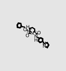 O=C(Nc1ccc(-n2cccn2)cc1)[C@@H]1CC[C@H]2CN1C(=O)N2OCc1ccccc1